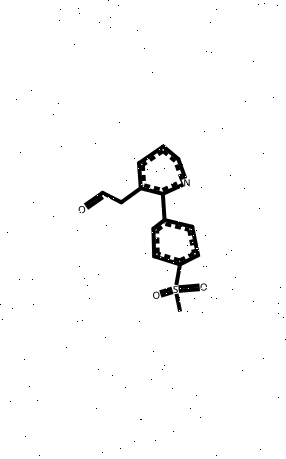 CS(=O)(=O)c1ccc(-c2ncccc2CC=O)cc1